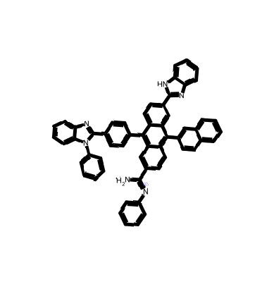 N/C(=N\c1ccccc1)c1ccc2c(-c3ccc4ccccc4c3)c3cc(-c4nc5ccccc5[nH]4)ccc3c(-c3ccc(-c4nc5ccccc5n4-c4ccccc4)cc3)c2c1